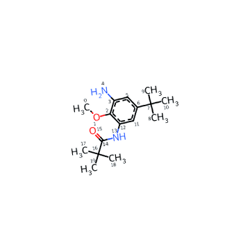 COc1c(N)cc(C(C)(C)C)cc1NC(=O)C(C)(C)C